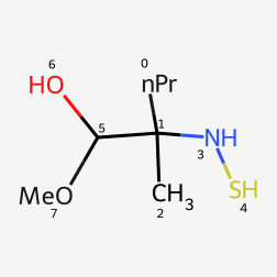 CCCC(C)(NS)C(O)OC